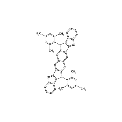 Cc1cc(C)c(C2=c3cc4cc5c(cc4cc3-c3oc4ccccc4c32)=C(c2c(C)cc(C)cc2C)c2c-5oc3ccccc23)c(C)c1